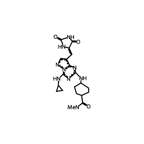 CNC(=O)C1CCC(Nc2nc(NC3CC3)n3ncc(/C=C4\NC(=O)NC4=O)c3n2)CC1